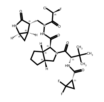 CC(C)(C)[C@H](NC(=O)[C@@H]1CC1(F)F)C(=O)N1C[C@@H]2CCC[C@@H]2[C@H]1C(=O)NN(C[C@H]1C(=O)N[C@@H]2C[C@@H]21)C(=O)[C@H](F)Cl